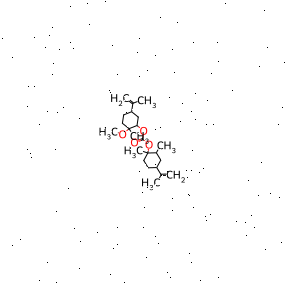 C=C(C)C1CCC(C)(OC(=O)OC2CC(C(=C)C)CCC2(C)OC)C(C)C1